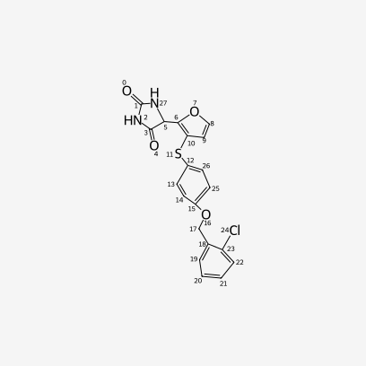 O=C1NC(=O)C(c2occc2Sc2ccc(OCc3ccccc3Cl)cc2)N1